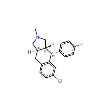 CN1C[C@@H]2Cc3ccc(Cl)cc3[C@@H](c3ccc(F)cc3)[C@H]2C1